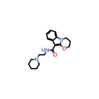 O=C(NCCN1CCCCC1)c1c2n(c3ccccc13)CCCO2